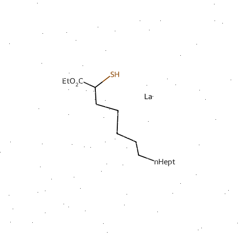 CCCCCCCCCCCCC(S)C(=O)OCC.[La]